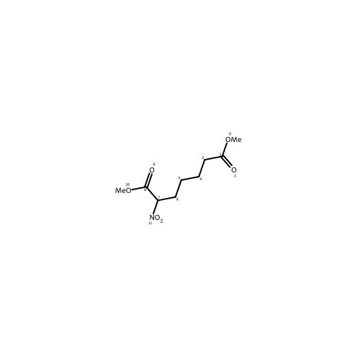 COC(=O)CCCCC(C(=O)OC)[N+](=O)[O-]